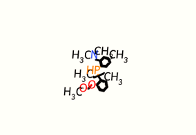 CCC(CC)(Pc1ccc(C)cc1CN(C)C)c1ccccc1OCOC